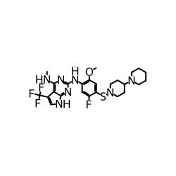 CNc1nc(Nc2cc(F)c(SN3CCC(N4CCCCC4)CC3)cc2OC)nc2[nH]cc(C(F)(F)F)c12